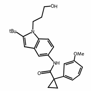 COc1cccc(C2(C(=O)Nc3ccc4c(c3)cc(C(C)(C)C)n4CCCO)CC2)c1